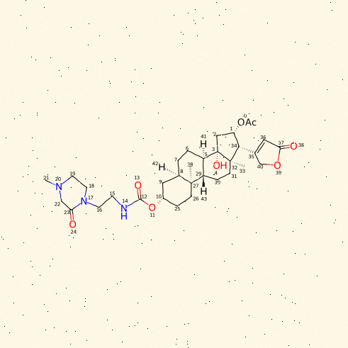 CC(=O)O[C@H]1C[C@]2(O)[C@@H]3CC[C@@H]4C[C@@H](OC(=O)NCCN5CCN(C)CC5=O)CC[C@]4(C)[C@H]3CC[C@]2(C)[C@H]1C1=CC(=O)OC1